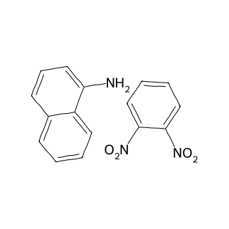 Nc1cccc2ccccc12.O=[N+]([O-])c1ccccc1[N+](=O)[O-]